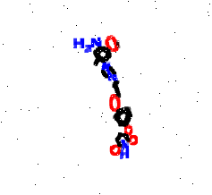 COc1cc(N2CCN(CCCOc3ccc(OC4CCC(=O)NC4=O)cc3)CC2)c(C)cc1N